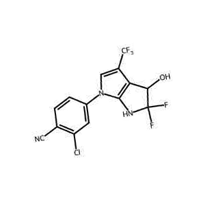 N#Cc1ccc(-n2cc(C(F)(F)F)c3c2NC(F)(F)C3O)cc1Cl